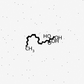 CCCCC/C=C\C/C=C\C/C=C\C/C=C\CCCC(=O)C(O)C(O)CO